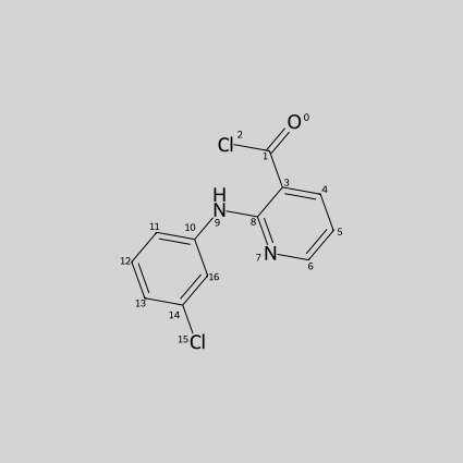 O=C(Cl)c1cccnc1Nc1cccc(Cl)c1